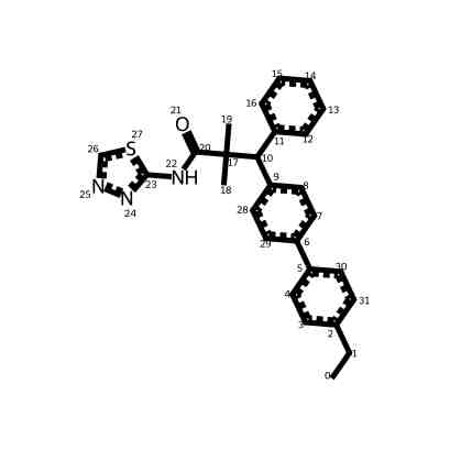 CCc1ccc(-c2ccc(C(c3ccccc3)C(C)(C)C(=O)Nc3nncs3)cc2)cc1